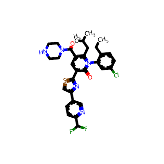 CCc1ccc(Cl)cc1-n1c(CC(C)C)c(C(=O)N2CCNCC2)cc(-c2nc(-c3ccc(C(F)F)nc3)cs2)c1=O